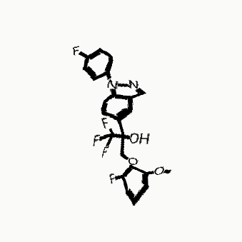 COc1cccc(F)c1OCC(O)(c1ccc2c(cnn2-c2ccc(F)cc2)c1)C(F)(F)F